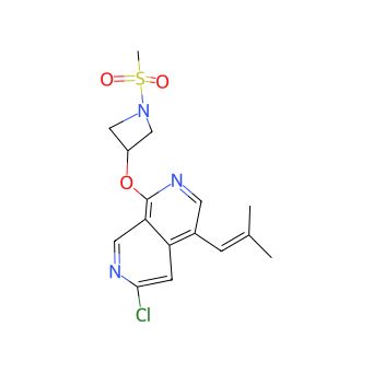 CC(C)=Cc1cnc(OC2CN(S(C)(=O)=O)C2)c2cnc(Cl)cc12